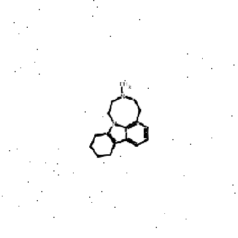 CN1CCc2cccc3c4c(n(c23)CC1)CCCC4